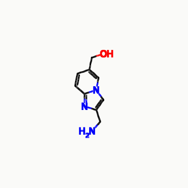 NCc1cn2cc(CO)ccc2n1